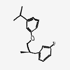 CC(C)c1cccc(OC[C@H](C)c2cccc(F)c2)c1